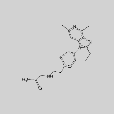 CCc1nc2c(C)nc(C)cc2n1-c1ccc(CCNCC(N)=O)cc1